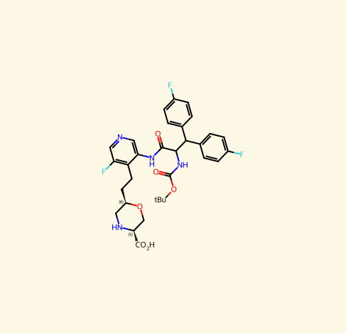 CC(C)(C)OC(=O)NC(C(=O)Nc1cncc(F)c1CC[C@@H]1CN[C@H](C(=O)O)CO1)C(c1ccc(F)cc1)c1ccc(F)cc1